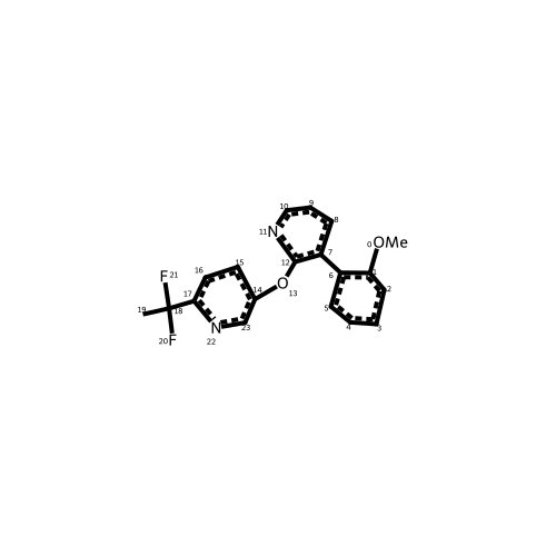 COc1ccccc1-c1cccnc1Oc1ccc(C(C)(F)F)nc1